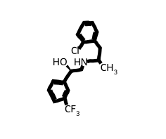 CC(Cc1ccccc1Cl)NC[C@H](O)c1cccc(C(F)(F)F)c1